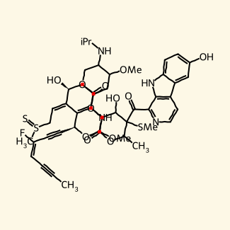 CC#C/C=C(/F)C#C[C@H](OC1OC(C)C(SC)(C(=O)c2nccc3c2[nH]c2ccc(O)cc23)C(O)C1OC1CC(OC)C(NC(C)C)CO1)C1=C(NC(=O)OC)C(=O)C[C@H](O)/C1=C/CS(C)=S